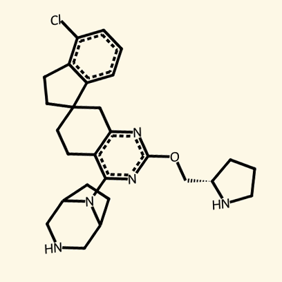 Clc1cccc2c1CCC21CCc2c(nc(OC[C@@H]3CCCN3)nc2N2C3CCC2CNC3)C1